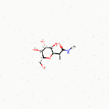 CCCNC(=O)C(C)C1O[C@H](CO)[C@@H](O)[C@H](O)[C@H]1O